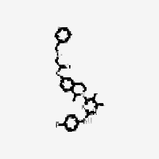 Cc1nc(Nc2ccc(F)cc2)nc(N2CCc3cc(OC(=O)COCc4ccccc4)ccc3C2C)c1C